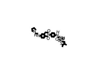 Cc1cc(S(=O)(=O)NC(=O)Nc2ccc(N3C(=O)Cc4cc(NCCN5CCCC5)ccc4C3=O)cc2)sc1C